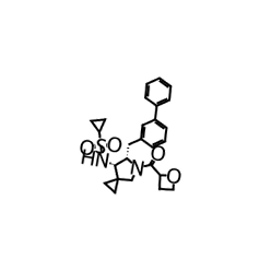 O=C(C1CCO1)N1CC2(CC2)[C@H](NS(=O)(=O)C2CC2)[C@@H]1Cc1cccc(-c2ccccc2)c1